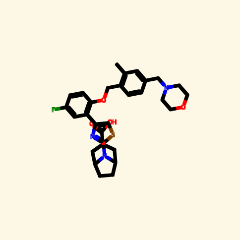 Cc1cc(CN2CCOCC2)ccc1COc1ccc(F)cc1-c1csc(N2C3CCC2CC(C(=O)O)C3)n1